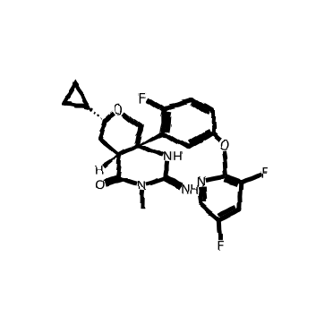 CN1C(=N)N[C@@]2(c3cc(Oc4ncc(F)cc4F)ccc3F)CO[C@@H](C3CC3)C[C@H]2C1=O